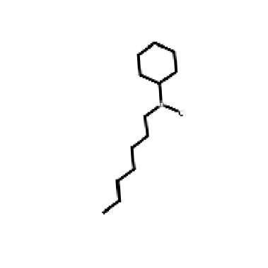 CCCCCCCB(Cl)C1CCCCC1